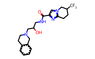 O=C(NCC(O)CN1CCc2ccccc2C1)c1cn2c(n1)CCC(C(F)(F)F)C2